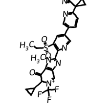 CCS(=O)(=O)c1cc(-c2ccc(C3(C#N)CC3)nc2)cnc1-c1nc2c(n1C)C(=O)C(C1CC1)[N+](C(F)(F)F)=C2